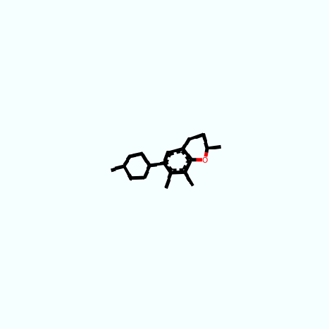 Cc1c(C2CCC(C)CC2)cc2c(c1C)OC(C)CC2